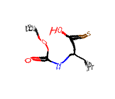 CC(C)C(NC(=O)OC(C)(C)C)C(O)=S